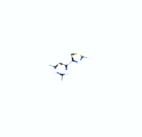 Cc1nc(Cl)cc(-c2csc(N)n2)n1